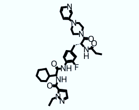 CCC(=O)N[C@H](Cc1ccc(NC(=O)[C@@H](NC(=O)c2ccnn2CC)C2CCCCC2)c(F)c1)C(=O)N1CCN(c2cccnc2)CC1